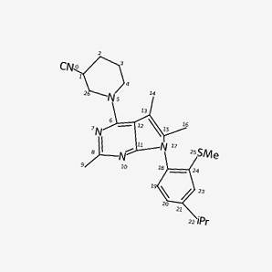 [C-]#[N+]C1CCCN(c2nc(C)nc3c2c(C)c(C)n3-c2ccc(C(C)C)cc2SC)C1